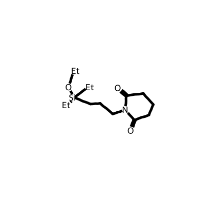 CCO[Si](CC)(CC)CCCN1C(=O)CCCC1=O